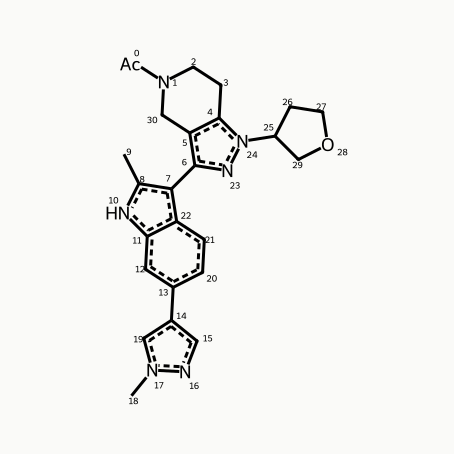 CC(=O)N1CCc2c(c(-c3c(C)[nH]c4cc(-c5cnn(C)c5)ccc34)nn2C2CCOC2)C1